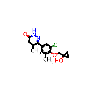 Cc1cc(C2=NNC(=O)CC2C)cc(Cl)c1OCC1(O)CC1